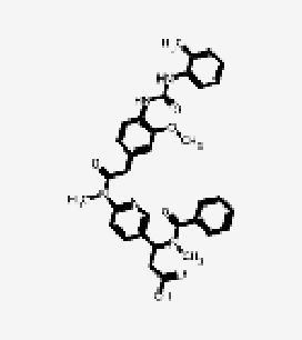 COc1cc(CC(=O)N(C)c2ccc(C(CC(=O)O)N(C)C(=O)c3ccccc3)cn2)ccc1NC(=O)Nc1ccccc1C